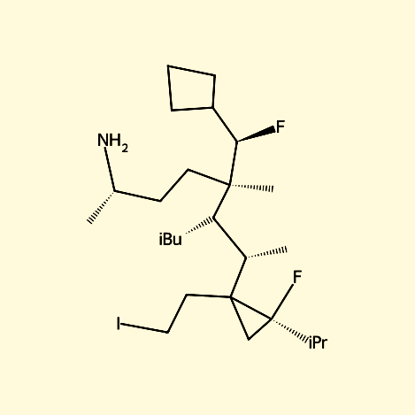 CC[C@@H](C)C([C@H](C)C1(CCI)C[C@@]1(F)C(C)C)[C@@](C)(CC[C@H](C)N)[C@H](F)C1CCC1